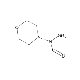 NN(C=O)C1CCOCC1